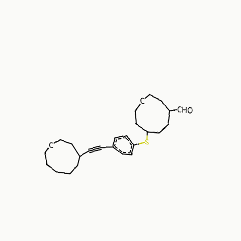 O=CC1CCCCCC(Sc2ccc(C#CC3CCCCCCCC3)cc2)CC1